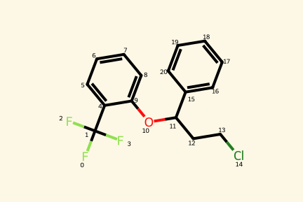 FC(F)(F)c1ccccc1OC(CCCl)c1ccccc1